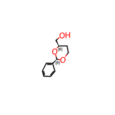 OC[C@H]1CCO[C@@H](c2ccccc2)O1